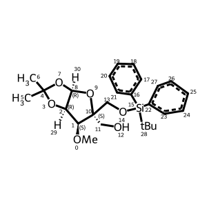 CO[C@H]1[C@H]2OC(C)(C)O[C@H]2O[C@@]1(CO)CO[Si](c1ccccc1)(c1ccccc1)C(C)(C)C